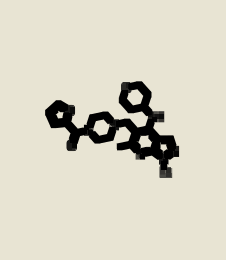 CCn1ncc2c(NC3CCOCC3)c(CN3CCN(C(=O)c4ccco4)CC3)c(C)nc21